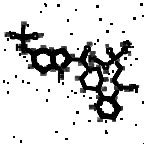 CCOP(=O)(CCN(c1cccnc1N1CCN(C(=O)c2cc3cc(NS(C)(=O)=O)ccc3[nH]2)CC1)C(C)C)OCC